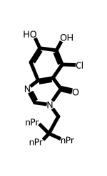 CCCC(CCC)(CCC)Cn1cnc2cc(O)c(O)c(Cl)c2c1=O